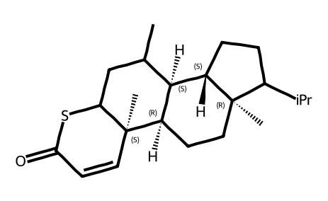 CC(C)C1CC[C@H]2[C@@H]3C(C)CC4SC(=O)C=C[C@]4(C)[C@@H]3CC[C@]12C